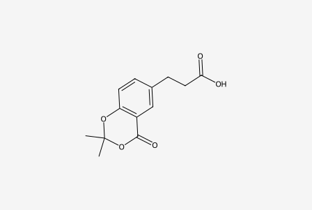 CC1(C)OC(=O)c2cc(CCC(=O)O)ccc2O1